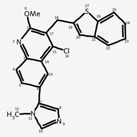 COc1nc2ccc(-c3cncn3C)cc2c(Cl)c1Cc1cc2ccccc2s1